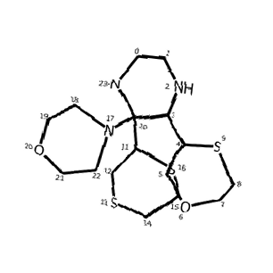 C1CNC(C2COCCS2)C(C2CSCCS2)(N2CCOCC2)[N]1